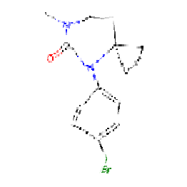 CN1CCC2(CC2)N(c2ccc(Br)cc2)C1=O